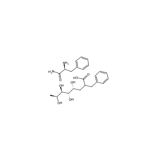 C[C@H](O)[C@@H](O)[C@@H](O)[C@H](O)CC(Cc1ccccc1)C(=O)O.NC(=O)[C@@H](N)Cc1ccccc1